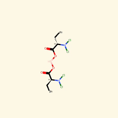 CC(C)C[C@@H](C(=O)OBOC(=O)[C@H](CC(C)C)N(Cl)Cl)N(Cl)Cl